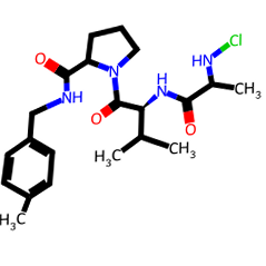 Cc1ccc(CNC(=O)C2CCCN2C(=O)[C@@H](NC(=O)C(C)NCl)C(C)C)cc1